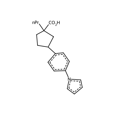 CCCC1(C(=O)O)CCC(c2ccc(-n3cccc3)cc2)C1